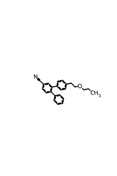 CCCOCCc1ccc(-c2cc(C#N)ccc2-c2ccccc2)cc1